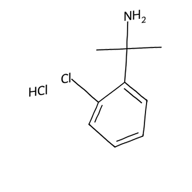 CC(C)(N)c1ccccc1Cl.Cl